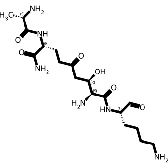 C[C@H](N)C(=O)N[C@H](CCC(=O)C[C@@H](O)[C@H](N)C(=O)N[C@H]([C]=O)CCCCN)C(N)=O